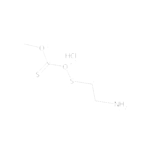 COC(=S)OSCCN.Cl